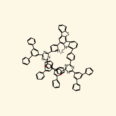 Cn1c2c(-c3ccc(-c4nc(-c5cc(-c6ccccc6)cc(-c6ccccc6)c5)nc(-c5cc(-c6ccccc6)cc(-c6ccccc6)c5)n4)cc3)cccc2c2c3sc4ccccc4c3cc(-c3ccc(-c4nc(-c5cc(-c6ccccc6)cc(-c6ccccc6)c5)nc(-c5cc(-c6ccccc6)cc(-c6ccccc6)c5)n4)cc3)c21